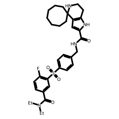 CCN(CC)C(=O)c1ccc(F)c(S(=O)(=O)c2ccc(CNC(=O)c3cc4c([nH]3)CCNC43CCCCCCC3)cc2)c1